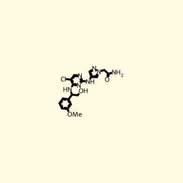 COc1cccc(C(CO)Nc2nc(Nc3cnn(CC(N)=O)c3)ncc2Cl)c1